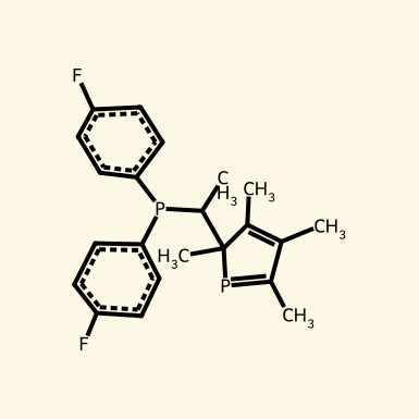 CC1=PC(C)(C(C)P(c2ccc(F)cc2)c2ccc(F)cc2)C(C)=C1C